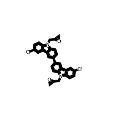 Clc1ccc2c(c1)c1cc(-c3ccc4c(c3)c3cc(Cl)ccc3n4CC3CO3)ccc1n2CC1CO1